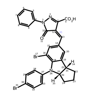 O=C(O)C1=NN(c2ccccc2)C(=O)/C1=C\c1cc(Br)c2c(c1)[C@@H]1CCC[C@@H]1N2c1ccc(Br)cc1